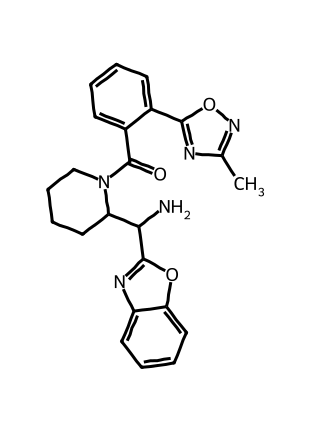 Cc1noc(-c2ccccc2C(=O)N2CCCCC2C(N)c2nc3ccccc3o2)n1